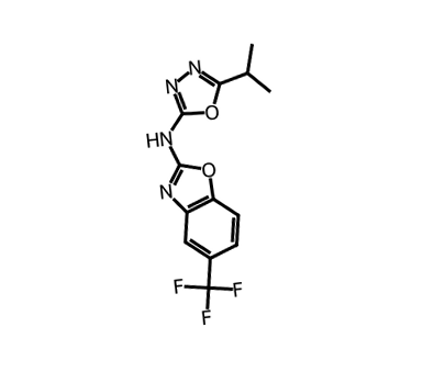 CC(C)c1nnc(Nc2nc3cc(C(F)(F)F)ccc3o2)o1